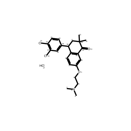 CN(C)CCOc1ccc2c(c1)C(=O)C(C)(C)CC2c1ccc(Cl)c(Cl)c1.Cl